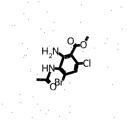 COC(=O)c1c(Cl)cc(Br)c(NC(C)=O)c1N